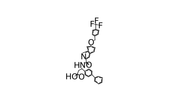 O=C(O)CC(NC(=O)c1cc2ccc(OCc3ccc(C(F)(F)F)cc3)cc2cn1)c1ccc(-c2ccccc2)cc1